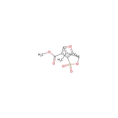 COC(=O)c1c2c3oc1c(C)c3OS2(=O)=O